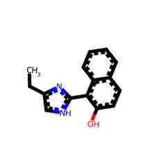 CCc1c[nH]c(-c2c(O)ccc3ccccc23)n1